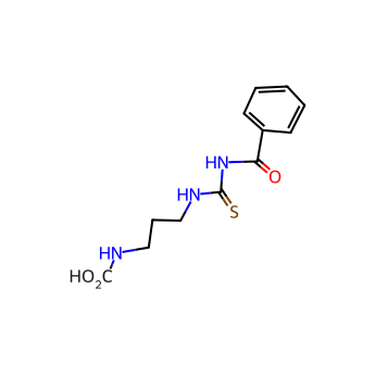 O=C(O)NCCCNC(=S)NC(=O)c1ccccc1